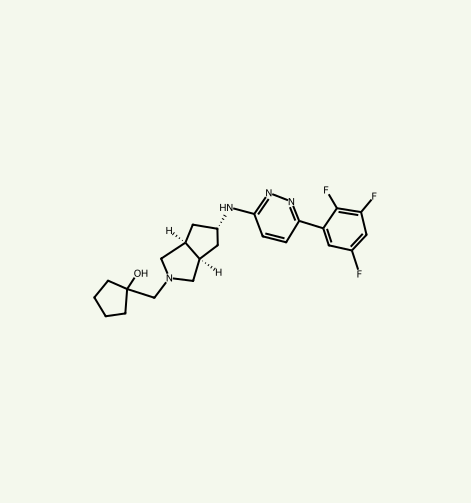 OC1(CN2C[C@H]3C[C@H](Nc4ccc(-c5cc(F)cc(F)c5F)nn4)C[C@H]3C2)CCCC1